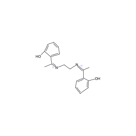 C/C(=N/CC/N=C(/C)c1ccccc1O)c1ccccc1O